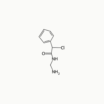 NCNC(=O)C(Cl)c1ccccc1